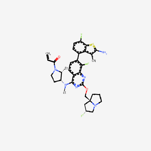 C=CC(=O)N1CC[C@@H](N(CC)c2nc(OC[C@@]34CCCN3C[C@H](F)C4)nc3c(F)c(-c4ccc(F)c5sc(N)c(C#N)c45)ccc23)[C@H]1CC